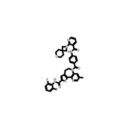 Cc1cnc2c(c1)N(C(=O)c1ccc(NC(=O)c3cccnc3N3CC4(CCOCC4)C3)cc1)CCc1cc(C(=O)Nc3c(F)cccc3F)sc1-2